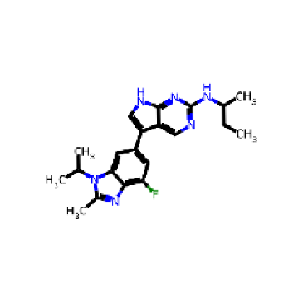 CCC(C)Nc1ncc2c(-c3cc(F)c4nc(C)n(C(C)C)c4c3)c[nH]c2n1